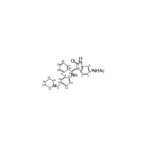 CC(=O)Nc1ccc2c(c1)NC(=O)C2=C(Nc1ccc(CN2CCCCC2)cc1)c1ccccc1